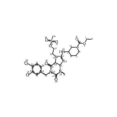 CCOC(=O)C1CCCC(NC2=NC3C(C(=O)N(Cc4ccc(Cl)c(Cl)c4)C(=O)N3C)N2CCOS(C)(=O)=O)C1